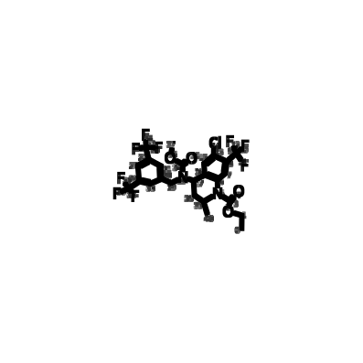 CCOC(=O)N1c2cc(C(F)(F)F)c(Cl)cc2C(N(Cc2cc(C(F)(F)F)cc(C(F)(F)F)c2)C(=O)OC)CC1C